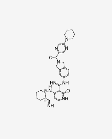 N=C[C@H]1CCCC[C@@H]1Nc1cc[nH]c(=O)c1C(=N)Nc1ccc2c(c1)CN(C(=O)c1cnc(N3CCCCC3)cn1)C2